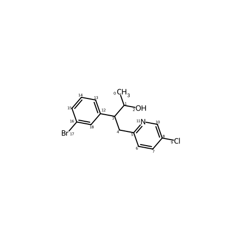 CC(O)C(Cc1ccc(Cl)cn1)c1cccc(Br)c1